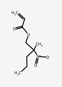 C=CC(=O)OCC(C)(CCC)[N+](=O)[O-]